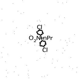 CCCC(c1ccc(Cl)cc1)(c1ccc(Cl)cc1)[N+](=O)[O-]